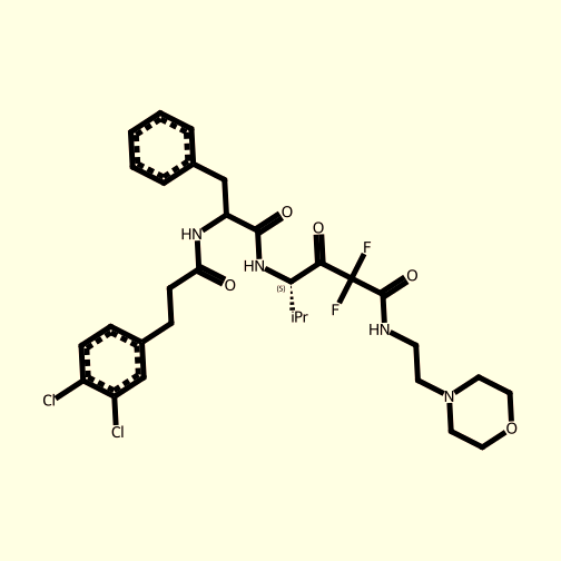 CC(C)[C@H](NC(=O)C(Cc1ccccc1)NC(=O)CCc1ccc(Cl)c(Cl)c1)C(=O)C(F)(F)C(=O)NCCN1CCOCC1